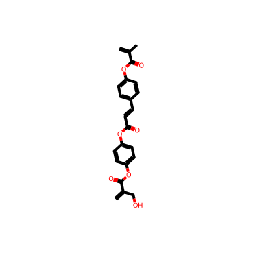 C=C(C)C(=O)Oc1ccc(/C=C/C(=O)Oc2ccc(OC(=O)C(=C)CO)cc2)cc1